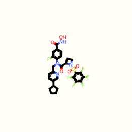 O=C(NO)c1ccc(N(Cc2ccc(C3CCCC3)cn2)C(=O)C2CCN2S(=O)(=O)c2c(F)c(F)c(F)c(F)c2F)c(F)c1